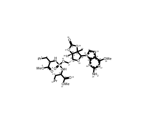 COC(=O)C(CC(C)C)NP(=O)(NC(CC(C)C)C(=O)OC)OC[C@H]1OC(n2cnc3c(OC)nc(N)nc32)C2(C)OC(=O)O[C@@H]12